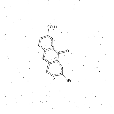 CC(C)c1ccc2nc3ccc(C(=O)O)cn3c(=O)c2c1